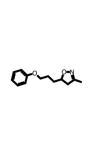 CC1=NOC(CCCOc2ccccc2)C1